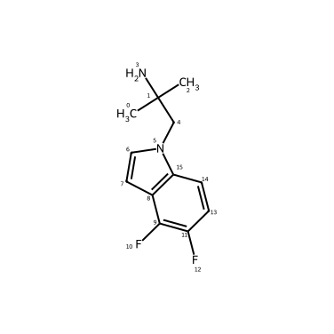 CC(C)(N)Cn1ccc2c(F)c(F)ccc21